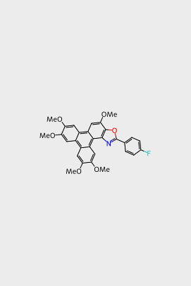 COc1cc2c3cc(OC)c(OC)cc3c3c(cc(OC)c4oc(-c5ccc(F)cc5)nc43)c2cc1OC